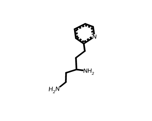 NCCC(N)CCc1ccccn1